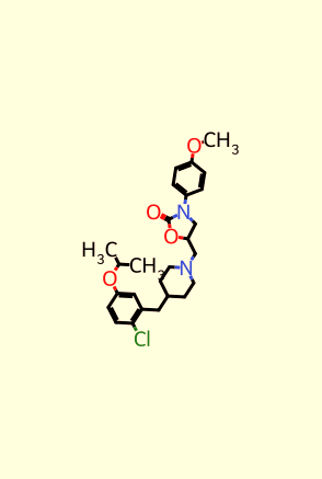 COc1ccc(N2CC(CN3CCC(Cc4cc(OC(C)C)ccc4Cl)CC3)OC2=O)cc1